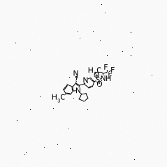 Cc1ccc2c(C#N)c(-c3ccc(S(=O)(=O)N[C@@H](C)C(F)(F)F)cn3)n(C3CCCC3)c2c1